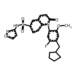 COc1cc(CC2CCCC2)c(F)cc1-n1c(=O)ccc2cc(S(=O)(=O)Nc3ccon3)ccc21